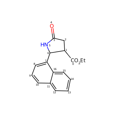 CCOC(=O)C1CC(=O)NC1c1cccc2ccccc12